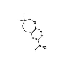 CC(=O)c1ccc2c(c1)CCC(C)(C)CS2